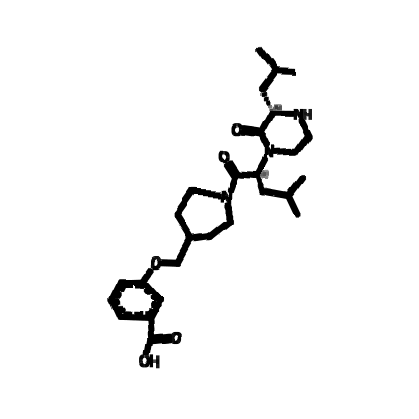 CC(C)C[C@@H]1NCCN([C@@H](CC(C)C)C(=O)N2CCC(COc3cccc(C(=O)O)c3)CC2)C1=O